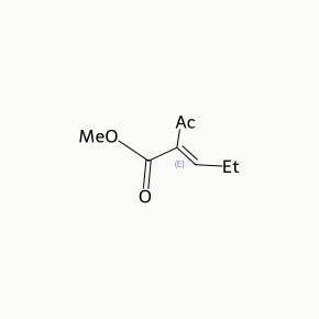 CC/C=C(\C(C)=O)C(=O)OC